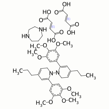 C1CNCCNC1.CCCC1=CCN(N2CC=C(CCC)C=C2c2cc(OC)c(OC)c(OC)c2)C(c2cc(OC)c(OC)c(OC)c2)=C1.O=C(O)/C=C/C(=O)O.O=C(O)/C=C/C(=O)O